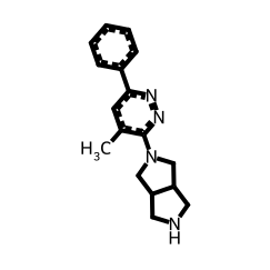 Cc1cc(-c2ccccc2)nnc1N1CC2CNCC2C1